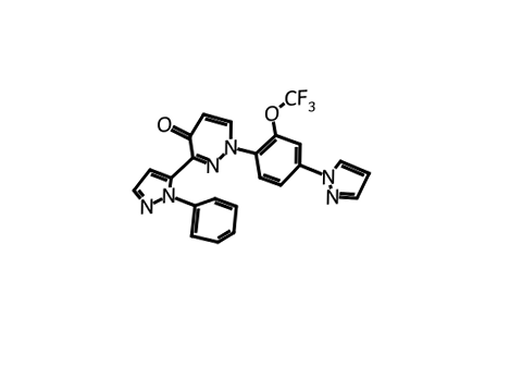 O=c1ccn(-c2ccc(-n3cccn3)cc2OC(F)(F)F)nc1-c1ccnn1-c1ccccc1